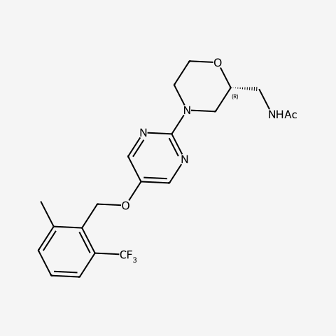 CC(=O)NC[C@@H]1CN(c2ncc(OCc3c(C)cccc3C(F)(F)F)cn2)CCO1